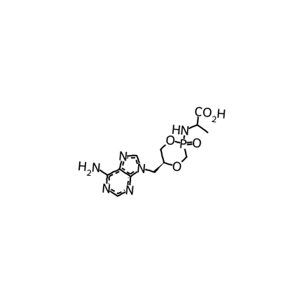 CC(NP1(=O)CO[C@@H](Cn2cnc3c(N)ncnc32)CO1)C(=O)O